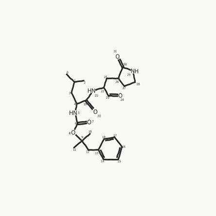 CC(C)CC(NC(=O)OC(C)(C)Cc1ccccc1)C(=O)NC(C=O)CC1CCNC1=O